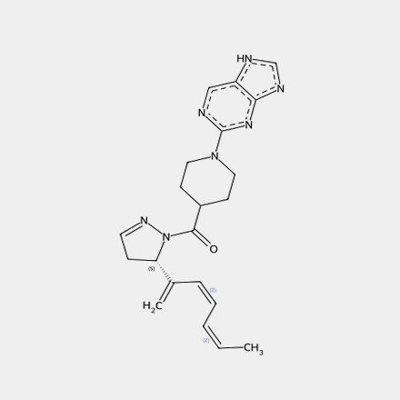 C=C(/C=C\C=C/C)[C@@H]1CC=NN1C(=O)C1CCN(c2ncc3[nH]cnc3n2)CC1